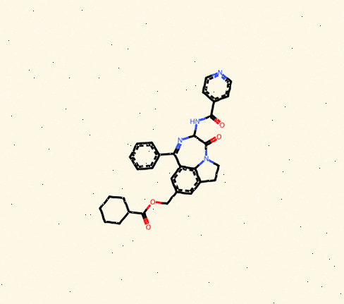 O=C(NC1N=C(c2ccccc2)c2cc(COC(=O)C3CCCCC3)cc3c2N(CC3)C1=O)c1ccncc1